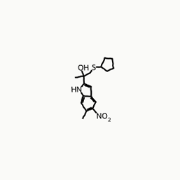 Cc1cc2[nH]c(C(C)(O)CSC3CCCC3)cc2cc1[N+](=O)[O-]